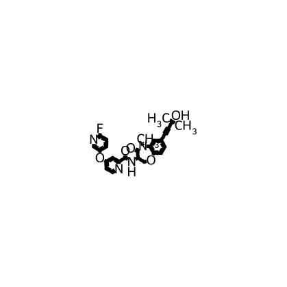 CN1C(=O)C(NC(=O)c2cc(Oc3ccc(F)nc3)ccn2)COc2ccc(C#CC(C)(C)O)cc21